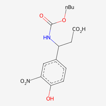 CCCCOC(=O)NC(CC(=O)O)c1ccc(O)c([N+](=O)[O-])c1